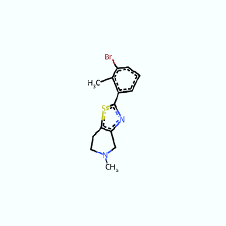 Cc1c(Br)cccc1-c1nc2c(s1)CCN(C)C2